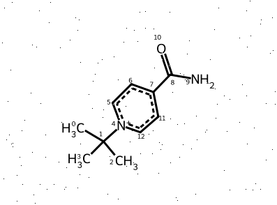 CC(C)(C)[n+]1ccc(C(N)=O)cc1